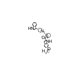 COc1ccc2cc(C(=O)N3CCCC[C@H]3CCN3CCC(c4c[nH]c5ccccc45)CC3)[nH]c2c1